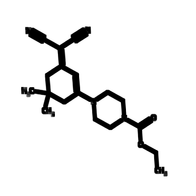 CCOC(=O)N1CCN(C2=CC(=C(C#N)C#N)CC(C)(C)C2)CC1